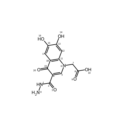 NNC(=O)c1cn(CC(=O)O)c2cc(O)c(O)cc2c1=O